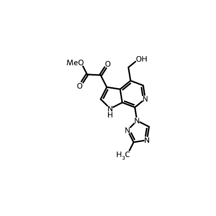 COC(=O)C(=O)c1c[nH]c2c(-n3cnc(C)n3)ncc(CO)c12